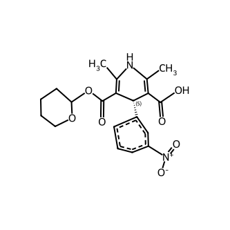 CC1=C(C(=O)O)[C@H](c2cccc([N+](=O)[O-])c2)C(C(=O)OC2CCCCO2)=C(C)N1